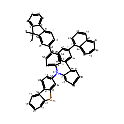 CC1(C)c2ccccc2-c2ccc(-c3ccc(N(c4ccc5c(c4)sc4ccccc45)c4ccccc4-c4cccc(-c5cccc6ccccc56)c4)cc3)cc21